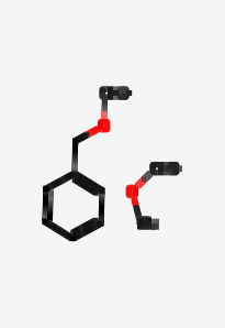 CC(C)(C)O[C]=O.O=[C]OCc1ccccc1